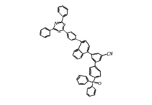 N#Cc1cc(-c2ccc(P(=O)(c3ccccc3)c3ccccc3)cc2)cc(-c2ccc(-c3ccc(-c4nc(-c5ccccc5)nc(-c5ccccc5)n4)cc3)c3ccccc23)c1